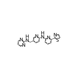 c1cnc(NCc2ccc(Nc3cccc(-c4nccs4)n3)nc2)nc1